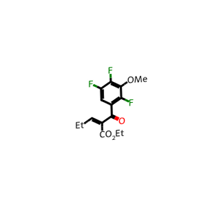 CCC=C(C(=O)OCC)C(=O)c1cc(F)c(F)c(OC)c1F